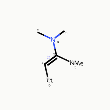 CC/C=C(\NC)N(C)C